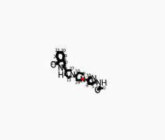 CC(=O)Nc1ccc(N2CCC(N3CCC(c4cc5ccccc5c(=O)[nH]4)C3)CC2)cn1